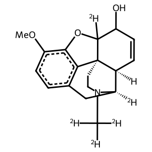 [2H]C([2H])([2H])N1CC[C@]23c4c5ccc(OC)c4OC2([2H])C(O)C=C[C@H]3[C@@]1([2H])C5